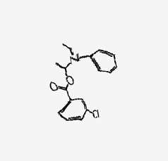 CCN(c1ccccc1)C(C)OC(=O)c1cccc(Cl)c1